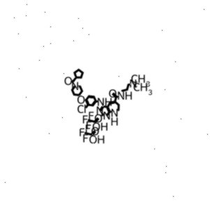 CN(C)CCCNC(=O)C1=Cc2c(ncnc2Nc2ccc(OC3CCN(C(=O)C4CCCC4)CC3)c(Cl)c2)NCC1.O=C(O)C(F)(F)F.O=C(O)C(F)(F)F